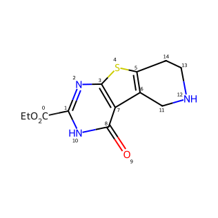 CCOC(=O)c1nc2sc3c(c2c(=O)[nH]1)CNCC3